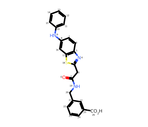 O=C(Cc1nc2ccc(Nc3ccccc3)cc2s1)NCc1cccc(C(=O)O)c1